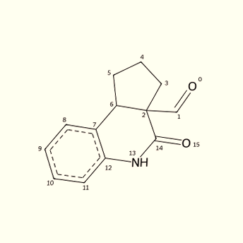 O=CC12CCCC1c1ccccc1NC2=O